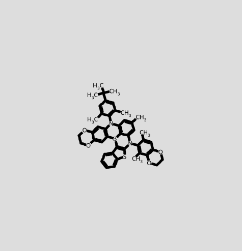 Cc1cc2c3c(c1)N(c1c(C)cc4c(c1C)OCCO4)c1sc4ccccc4c1B3c1cc3c(cc1N2c1c(C)cc(C(C)(C)C)cc1C)OCCO3